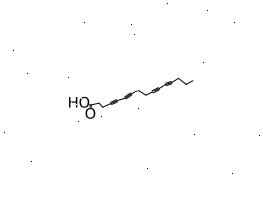 CCCC#CC#CCCC#CC#CCCC(=O)O